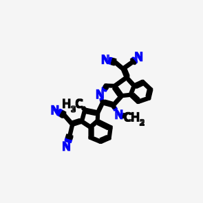 C=Nc1c(C2=C(C)C(=C(C#N)C#N)c3ccccc32)ncc2c1-c1ccccc1C2=C(C#N)C#N